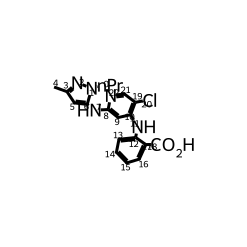 CCCn1nc(C)cc1Nc1cc(Nc2ccccc2C(=O)O)c(Cl)cn1